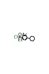 CCC(Cl)(OC(C)=O)c1ccc(C2CCCCC2)cc1